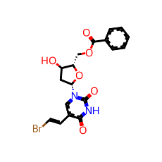 O=C(OC[C@@H]1O[C@H](n2cc(/C=C/Br)c(=O)[nH]c2=O)CC1O)c1ccccc1